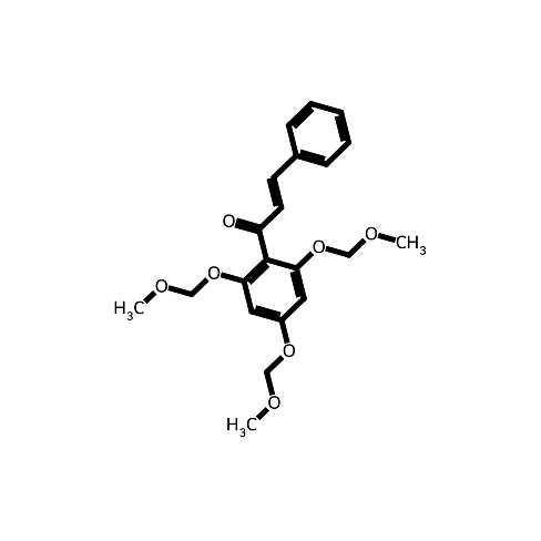 COCOc1cc(OCOC)c(C(=O)C=Cc2ccccc2)c(OCOC)c1